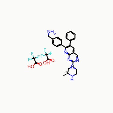 C[C@H]1CN(c2ncc3cc(-c4ccccc4)c(-c4ccc(CN)cc4)nc3n2)CCN1.O=C(O)C(F)(F)F.O=C(O)C(F)(F)F